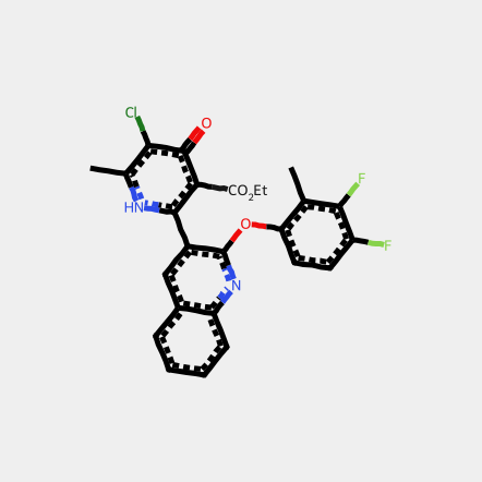 CCOC(=O)c1c(-c2cc3ccccc3nc2Oc2ccc(F)c(F)c2C)[nH]c(C)c(Cl)c1=O